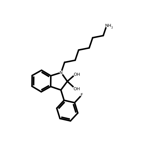 NCCCCCCN1c2ccccc2C(c2ccccc2F)C1(O)O